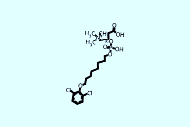 C[N+](C)(C)C[C@@H](CC(=O)O)OP(=O)(O)OCCCCCCCCOc1c(Cl)cccc1Cl